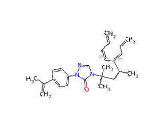 C=C/C=C\C(=C/C=C)C(C)CC(C)(C)n1cnn(-c2ccc(C(=C)C)cc2)c1=O